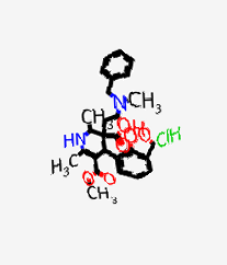 COC(=O)C1=C(C)NC(C)C(CCN(C)Cc2ccccc2)(C(=O)O)C1c1cccc2c1OOC2.Cl